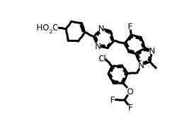 Cc1nc2cc(F)c(-c3cnc(C4=CCC(C(=O)O)CC4)nc3)cc2n1Cc1cc(Cl)ccc1OC(F)F